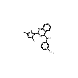 Cc1cc(C)n(-c2nc(Nc3cccc(C(F)(F)F)c3)c3ccccc3n2)n1